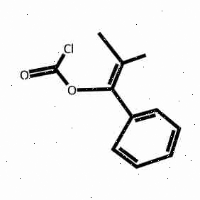 CC(C)=C(OC(=O)Cl)c1ccccc1